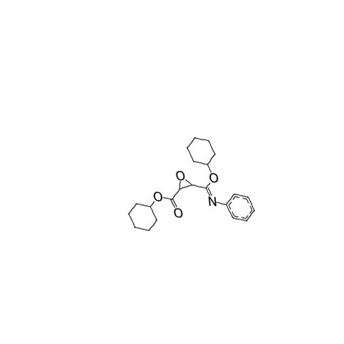 O=C(OC1CCCCC1)C1OC1C(=Nc1ccccc1)OC1CCCCC1